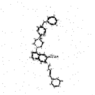 COc1cc2c(N3CCN(c4ncc(Cc5ccccc5)cn4)CC3)ncnc2cc1OCCCN1CCCCC1